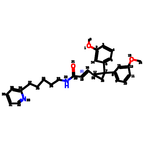 COc1cccc(C2(c3cccc(OC)c3)C[C@H]2/C=C/C(=O)NCCCCCc2ccccn2)c1